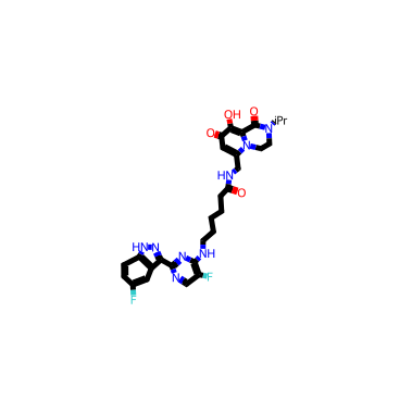 CC(C)N1CCn2c(CNC(=O)CCCCCNc3nc(-c4n[nH]c5ccc(F)cc45)ncc3F)cc(=O)c(O)c2C1=O